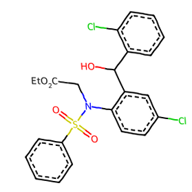 CCOC(=O)CN(c1ccc(Cl)cc1C(O)c1ccccc1Cl)S(=O)(=O)c1ccccc1